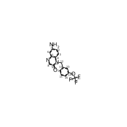 Nc1ccc2c(c1)ncc(=O)n2Cc1cccc(OC(F)(F)F)c1